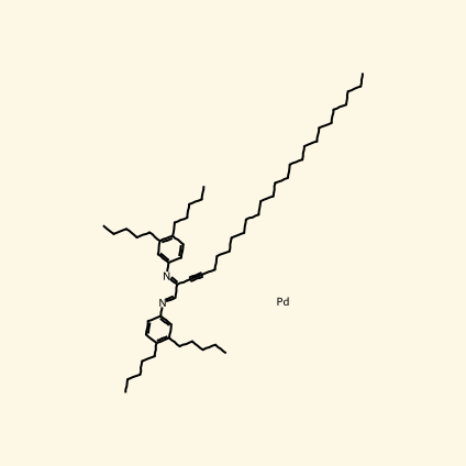 CCCCCCCCCCCCCCCCCCCCCCC#CC(C=Nc1ccc(CCCCC)c(CCCCC)c1)=Nc1ccc(CCCCC)c(CCCCC)c1.[Pd]